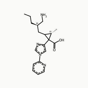 CCC[C@@H](CN)CC1[C@H](C)C1(C(=O)O)c1cn(-c2ccccn2)cn1